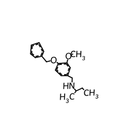 CCC(C)NCc1ccc(OCc2ccccc2)c(OC)c1